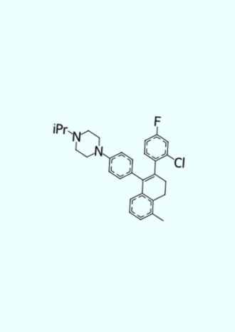 Cc1cccc2c1CCC(c1ccc(F)cc1Cl)=C2c1ccc(N2CCN(C(C)C)CC2)cc1